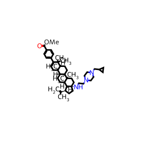 C=C(C)[C@@H]1CC[C@]2(NCCN3CCN(CC4CC4)CC3)CC[C@]3(C)[C@H](CC[C@@H]4[C@@]5(C)CC=C(c6ccc(C(=O)OC)cc6)C(C)(C)[C@@H]5CC[C@]43C)[C@@H]12